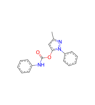 Cc1cc(OC(=O)Nc2ccccc2)n(-c2ccccc2)n1